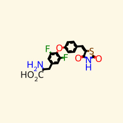 NC(Cc1cc(F)c(Oc2ccc(C=C3SC(=O)NC3=O)cc2)c(F)c1)C(=O)O